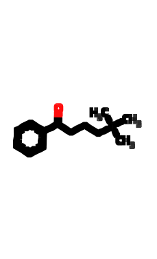 C[Si](C)(C)CCCC(=O)c1ccccc1